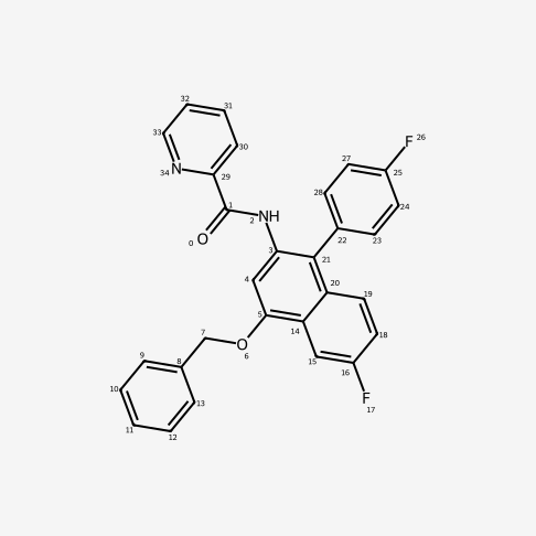 O=C(Nc1cc(OCc2ccccc2)c2cc(F)ccc2c1-c1ccc(F)cc1)c1ccccn1